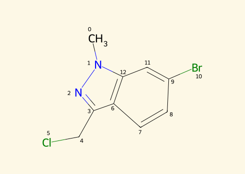 Cn1nc(CCl)c2ccc(Br)cc21